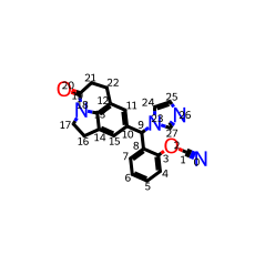 N#COc1ccccc1C(c1cc2c3c(c1)CCN3C(=O)CC2)n1ccnc1